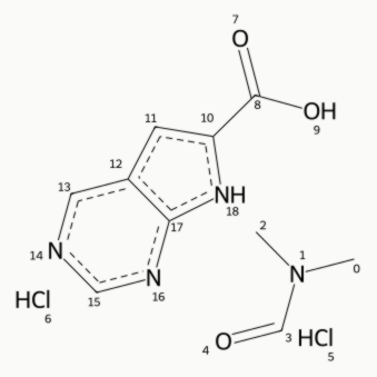 CN(C)C=O.Cl.Cl.O=C(O)c1cc2cncnc2[nH]1